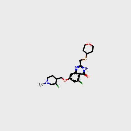 CN1CCC(COc2cc(F)c3c(=O)[nH]c(CSC4CCOCC4)nc3c2)C(F)C1